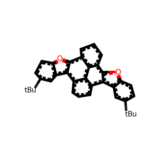 CC(C)(C)c1ccc2oc3c4cccc5c6oc7ccc(C(C)(C)C)cc7c6c6cccc(c3c2c1)c6c45